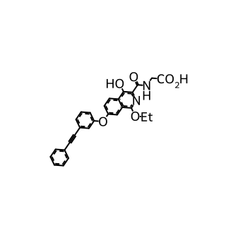 CCOc1nc(C(=O)NCC(=O)O)c(O)c2ccc(Oc3cccc(C#Cc4ccccc4)c3)cc12